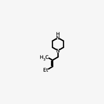 CC/C=C(\C)CN1CCNCC1